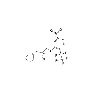 O=[N+]([O-])c1ccc(C(F)(F)C(F)(F)F)c(OC[C@H](O)CN2CCCC2)c1